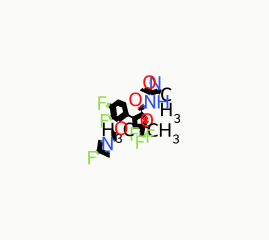 Cc1nocc1NC(=O)[C@@H]1O[C@@](C)(C(F)(F)F)[C@@H](C)[C@H]1c1ccc(F)c(F)c1OCCN1CC(F)C1